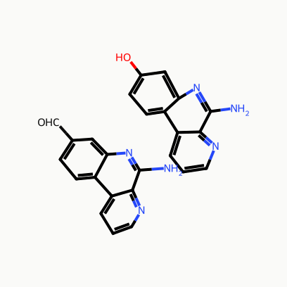 Nc1nc2cc(C=O)ccc2c2cccnc12.Nc1nc2cc(O)ccc2c2cccnc12